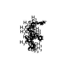 CCC1O[C@@H](OC2C(C)[C@H](C)[C@H](CC)O[C@@H]2OC2[C@@H]3OC(c4ccccc4)OCC3O[C@@H](O[C@@H]3C(CC)O[C@@H](O[C@@H]4C(CC)O[C@@H](OCCN=[N+]=[N-])[C@@H](C)C4C)[C@@H](C)C3C)[C@@H]2C)[C@@H](C)C(C)[C@@H]1C